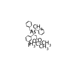 C[C@H](c1ccccc1)[As](Cc1ccccc1)[C@@H](CC(=O)OC(C)(C)C)c1cccc(F)c1